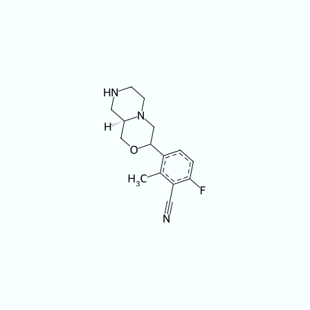 Cc1c(C2CN3CCNC[C@@H]3CO2)ccc(F)c1C#N